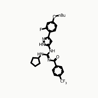 CCCCOc1ccc(-c2cc(N/C(=N\C(=O)c3ccc(C(F)(F)F)cc3)NC3CCCC3)[nH]n2)c(F)c1